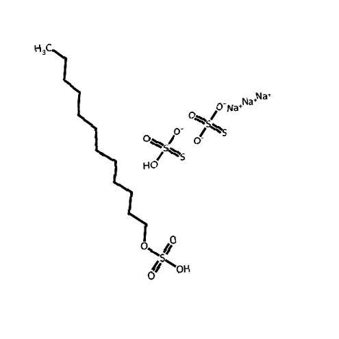 CCCCCCCCCCCCOS(=O)(=O)O.O=S([O-])(O)=S.O=S([O-])([O-])=S.[Na+].[Na+].[Na+]